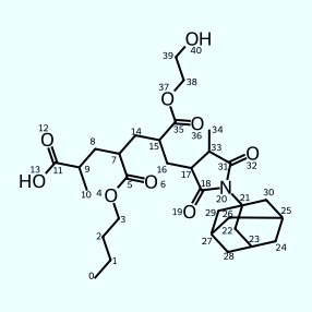 CCCCOC(=O)C(CC(C)C(=O)O)CC(CC1C(=O)N(C23CC4CC(CC(C4)C2)C3)C(=O)C1C)C(=O)OCCO